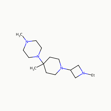 CCN1CC(N2CCC(C)(N3CCN(C)CC3)CC2)C1